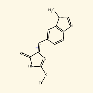 CCSC1=N/C(=C\c2ccc3ncn(C)c3c2)C(=O)N1